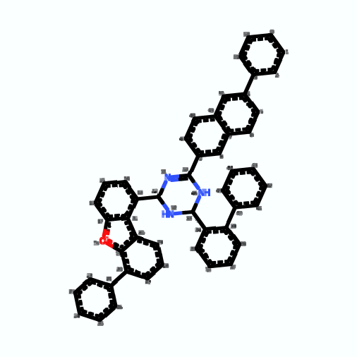 c1ccc(-c2ccc3cc(C4=NC(c5cccc6oc7c(-c8ccccc8)cccc7c56)NC(c5ccccc5-c5ccccc5)N4)ccc3c2)cc1